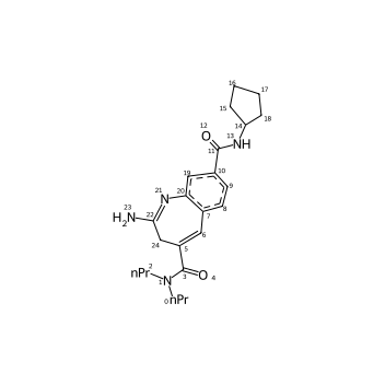 CCCN(CCC)C(=O)C1=Cc2ccc(C(=O)NC3CCCC3)cc2N=C(N)C1